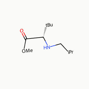 COC(=O)[C@@H](NCC(C)C)C(C)(C)C